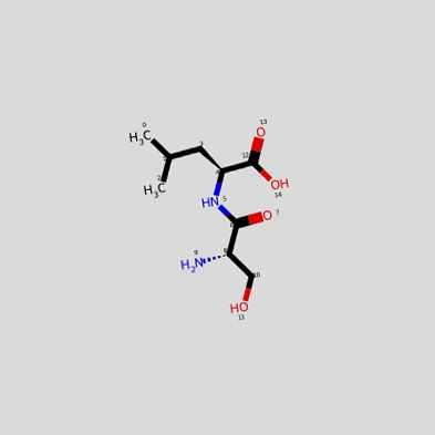 CC(C)C[C@H](NC(=O)[C@@H](N)CO)C(=O)O